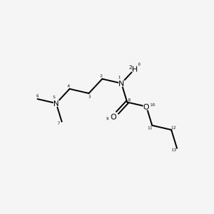 [2H]N(CCCN(C)C)C(=O)OCCC